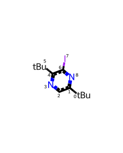 CC(C)(C)c1cnc(C(C)(C)C)c(I)n1